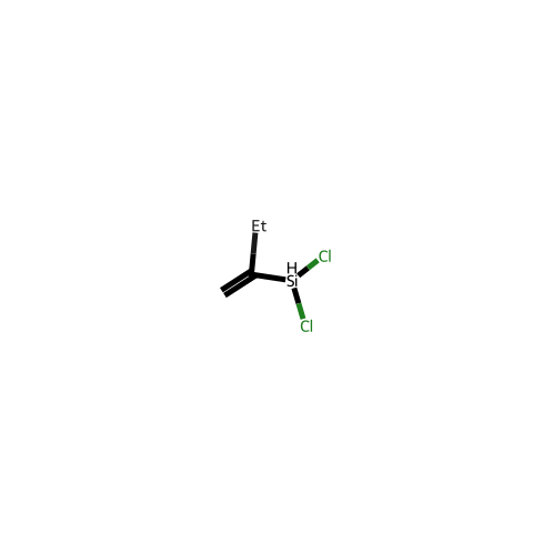 C=C(CC)[SiH](Cl)Cl